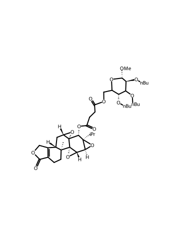 CCCCOC1[C@H](OCCCC)C(COC(=O)CCC(=O)O[C@@H]2[C@@]3(C(C)C)O[C@H]3[C@@H]3O[C@]34[C@]23O[C@H]3C[C@H]2C3=C(CC[C@@]24C)C(=O)OC3)O[C@H](OC)[C@H]1OCCCC